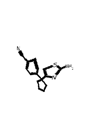 N#Cc1ccc(C2(c3csc(N)n3)CCCC2)cc1